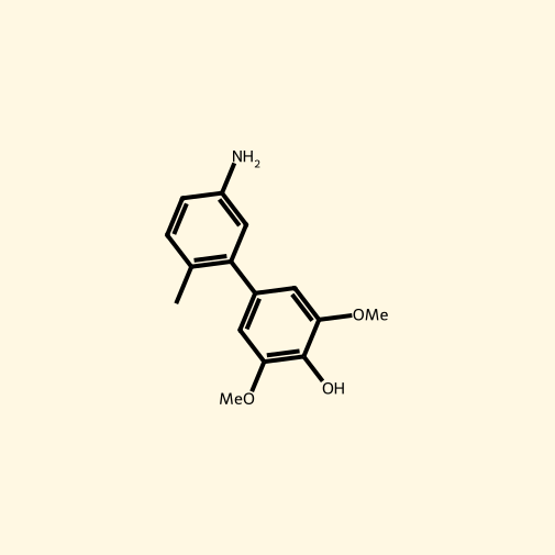 COc1cc(-c2cc(N)ccc2C)cc(OC)c1O